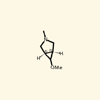 COC1[C@H]2CN(C)C[C@@H]12